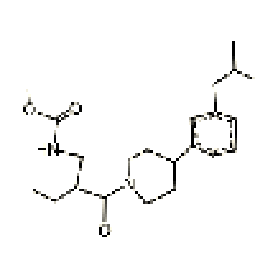 CCC(CNC(=O)OC)C(=O)N1CCC(c2cccc(CC(C)C)c2)CC1